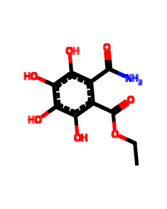 CCOC(=O)c1c(O)c(O)c(O)c(O)c1C(N)=O